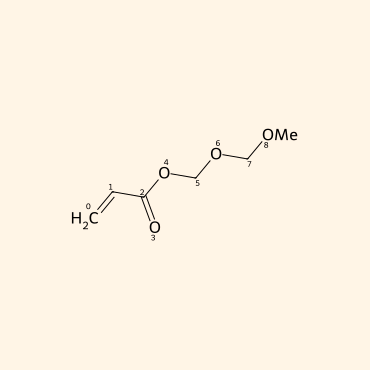 C=CC(=O)OCOCOC